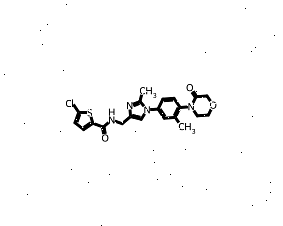 Cc1cc(-n2cc(CNC(=O)c3ccc(Cl)s3)nc2C)ccc1N1CCOCC1=O